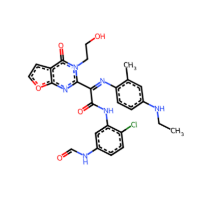 CCNc1ccc(/N=C(\C(=O)Nc2cc(NC=O)ccc2Cl)c2nc3occc3c(=O)n2CCO)c(C)c1